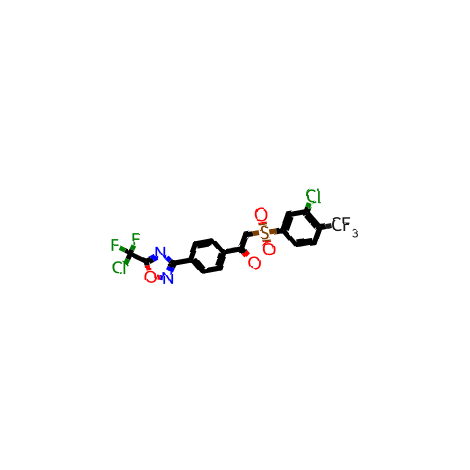 O=C(CS(=O)(=O)c1ccc(C(F)(F)F)c(Cl)c1)c1ccc(-c2noc(C(F)(F)Cl)n2)cc1